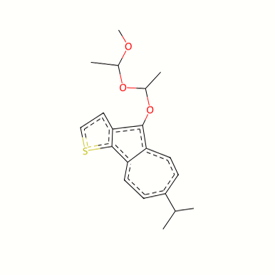 COC(C)OC(C)Oc1c2ccc(C(C)C)ccc-2c2sccc12